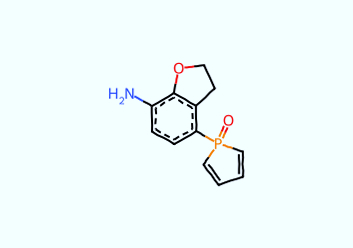 Nc1ccc(P2(=O)C=CC=C2)c2c1OCC2